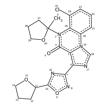 CC1(n2c(=O)c3c(-c4noc(C5CCCO5)n4)ncn3c3cccc(Cl)c32)CCCO1